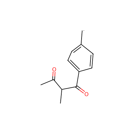 [CH2]c1ccc(C(=O)C(C)C(C)=O)cc1